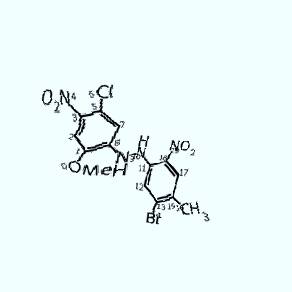 COc1cc([N+](=O)[O-])c(Cl)cc1NNc1cc(Br)c(C)cc1[N+](=O)[O-]